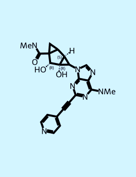 CNC(=O)C12CC1[C@H]1C(n3cnc4c(NC)nc(C#Cc5ccncc5)nc43)[C@@]1(O)[C@@H]2O